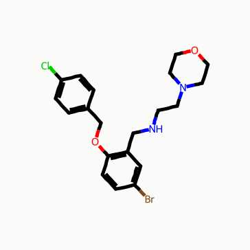 Clc1ccc(COc2ccc(Br)cc2CNCCN2CCOCC2)cc1